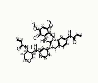 C=CC(=O)Nc1ccc(CN(C(=O)Nc2c(Cl)c(OC)cc(OC)c2Cl)c2cc(NC3COCCC3NC(=O)C=C)ncn2)cc1